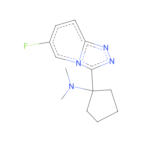 CN(C)C1(c2nnc3ccc(F)cn23)CCCC1